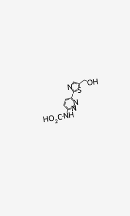 O=C(O)Nc1ccc(-c2ncc(CO)s2)nn1